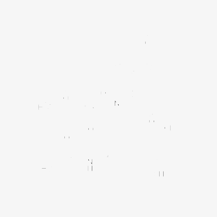 CCc1cc(NC(C)=O)cc(N(OC(=O)OC)OC(=O)OC)c1OC